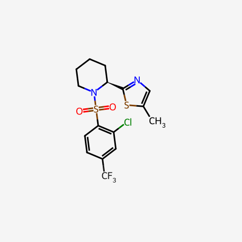 Cc1cnc([C@@H]2CCCCN2S(=O)(=O)c2ccc(C(F)(F)F)cc2Cl)s1